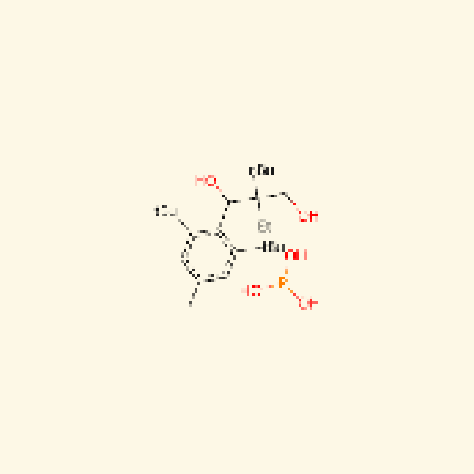 CCCCC(CC)(CO)C(O)c1c(C(C)(C)C)cc(C)cc1C(C)(C)C.OP(O)O